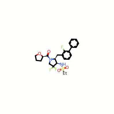 CCS(=O)(=O)N[C@@H]1[C@H](Cc2cccc(-c3ccccc3)c2F)N(C(=O)[C@H]2CCCO2)CC1(F)F